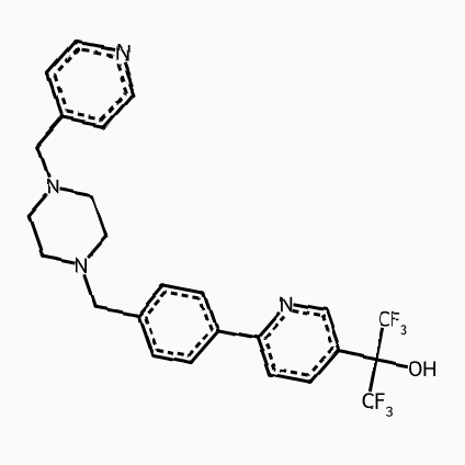 OC(c1ccc(-c2ccc(CN3CCN(Cc4ccncc4)CC3)cc2)nc1)(C(F)(F)F)C(F)(F)F